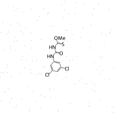 COC(=S)NC(=O)Nc1cc(Cl)cc(Cl)c1